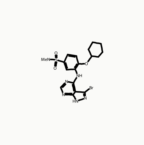 CNS(=O)(=O)c1ccc(OC2CCCCC2)c(Nc2ncnc3[nH]nc(Br)c23)c1